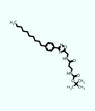 CCCCCCCCCCc1ccc(-c2noc(CNC(=O)CCNC(=O)OC(C)(C)C)n2)cc1